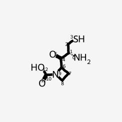 N[C@@H](CS)C(=O)C1CCN1C(=O)O